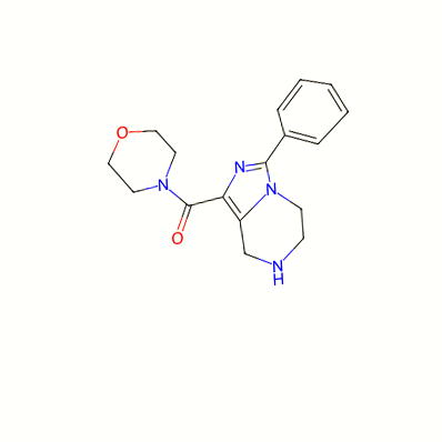 O=C(c1nc(-c2ccccc2)n2c1CNCC2)N1CCOCC1